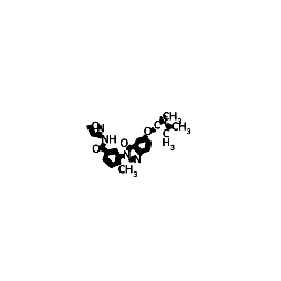 Cc1ccc(C(=O)Nc2ccon2)cc1-n1cnc2ccc(OCCN(C)C(C)C)cc2c1=O